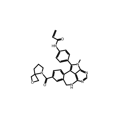 C=CC(=O)Nc1ccc(-c2c3c4c(ncnc4n2C)NCc2cc(C(=O)N4CCCC45COC5)ccc2-3)cc1